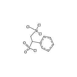 O=S(=O)(Cl)C(C[Si](Cl)(Cl)Cl)c1ccccc1